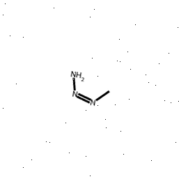 C/N=N\N